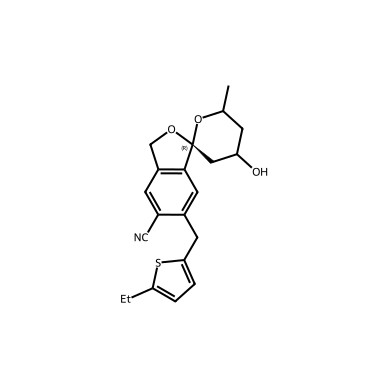 CCc1ccc(Cc2cc3c(cc2C#N)CO[C@@]32CC(O)CC(C)O2)s1